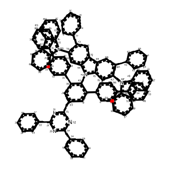 c1ccc(-c2ccc(-c3cc(-c4nc(-c5ccccc5)nc(-c5ccccc5)n4)cc(-c4ccc(-c5ccccc5)cc4)c3-n3c4cc(-n5c6ccccc6c6ccccc65)c(-c5ccccc5)cc4c4cc(-c5ccccc5)c(-n5c6ccccc6c6ccccc65)cc43)cc2)cc1